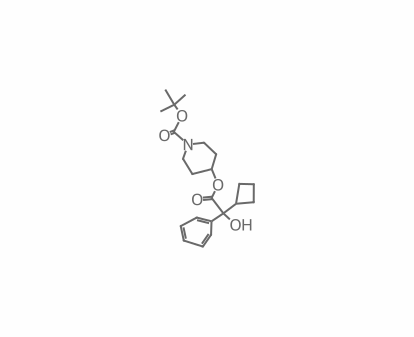 CC(C)(C)OC(=O)N1CCC(OC(=O)C(O)(c2ccccc2)C2CCC2)CC1